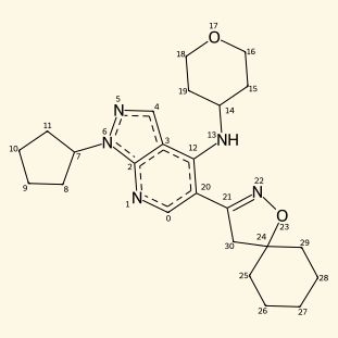 c1nc2c(cnn2C2CCCC2)c(NC2CCOCC2)c1C1=NOC2(CCCCC2)C1